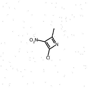 CC1=NC(Cl)=C1[N+](=O)[O-]